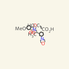 COc1ccc2c(c1)S(=O)(=O)N(CC(C)c1cccc(N3CCOCC3)c1)C2=O.O=C(O)C=CC(=O)O